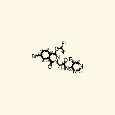 O=C(Cn1nc(OC(F)F)c2ccc(Br)cc2c1=O)Nc1ncncc1F